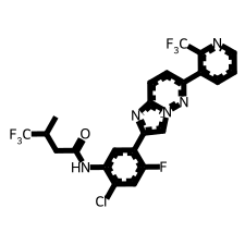 CC(CC(=O)Nc1cc(-c2cn3nc(-c4cccnc4C(F)(F)F)ccc3n2)c(F)cc1Cl)C(F)(F)F